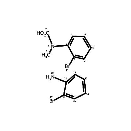 CN(C(=O)O)c1ccccc1Br.Nc1ccccc1Br